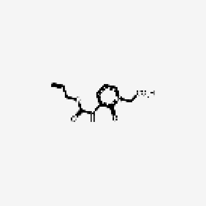 C=CCOC(=O)Nc1cccn(CC(=O)O)c1=O